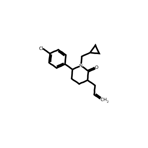 C=CCC1CCC(c2ccc(Cl)cc2)N(CC2CC2)C1=O